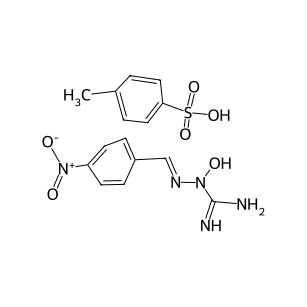 Cc1ccc(S(=O)(=O)O)cc1.N=C(N)N(O)N=Cc1ccc([N+](=O)[O-])cc1